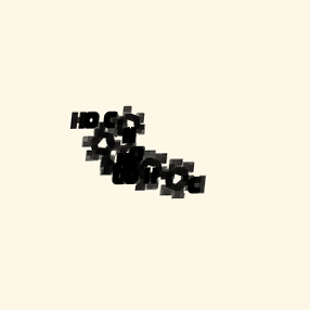 O=C(O)[C@H]1CCCN(CCN([C@]2(C(=O)O)C[C@H]2c2ccccc2)S(=O)(=O)c2ccc(-c3ccc(Cl)cc3)cc2)C1